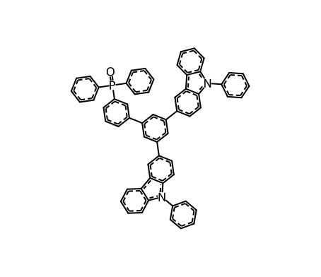 O=P(c1ccccc1)(c1ccccc1)c1cccc(-c2cc(-c3ccc4c(c3)c3ccccc3n4-c3ccccc3)cc(-c3ccc4c(c3)c3ccccc3n4-c3ccccc3)c2)c1